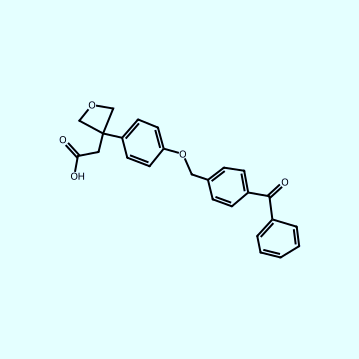 O=C(O)CC1(c2ccc(OCc3ccc(C(=O)c4ccccc4)cc3)cc2)COC1